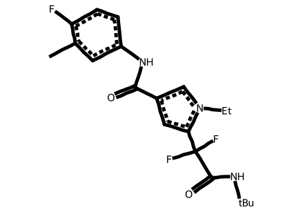 CCn1cc(C(=O)Nc2ccc(F)c(C)c2)cc1C(F)(F)C(=O)NC(C)(C)C